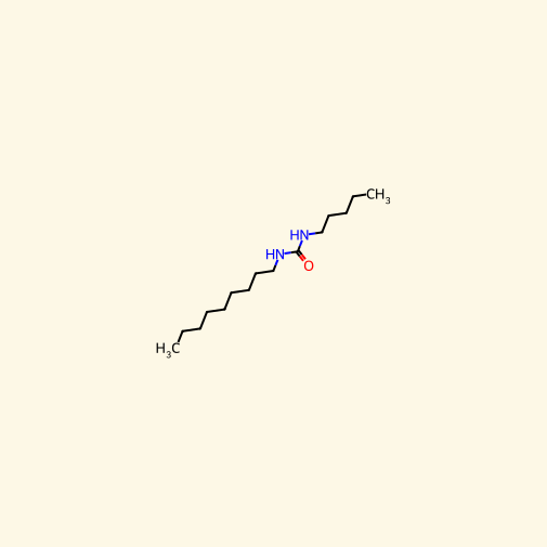 CCCCCCCCCNC(=O)NCCCCC